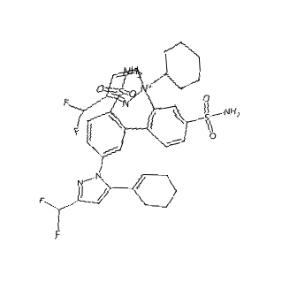 NS(=O)(=O)c1ccc(-c2cc(-n3nc(C(F)F)cc3C3=CCCCC3)ccc2S(N)(=O)=O)c([N+]2(C3CCCCC3)C=CC(C(F)F)=N2)c1